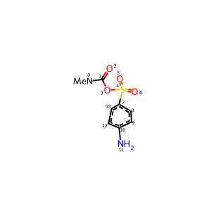 CNC(=O)OS(=O)(=O)c1ccc(N)cc1